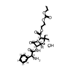 CCOC(=O)OCCOC(=O)[C@@H]1N2C(=O)[C@@H](NC(=O)C(N)c3ccccc3)[C@H]2SC1(C)C.Cl